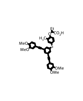 CCC(Oc1ccc(Sc2cc(C#Cc3ccc(OC)c(OC)c3)cc(C#Cc3ccc(OC)c(OC)c3)c2)cc1C)C(=O)O